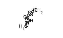 COc1ccc(S(=O)(=O)c2ccc3c(=O)n(Cc4ccc(OC)nc4O)ncc3c2)cc1